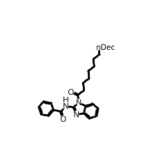 CCCCCCCCCCCCCCCCCC(=O)n1c(NC(=O)c2ccccc2)nc2ccccc21